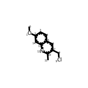 COc1ccc2cc(CCl)c(C)nc2c1